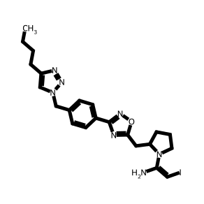 CCCCc1cn(Cc2ccc(-c3noc(CC4CCCN4/C(N)=C\I)n3)cc2)nn1